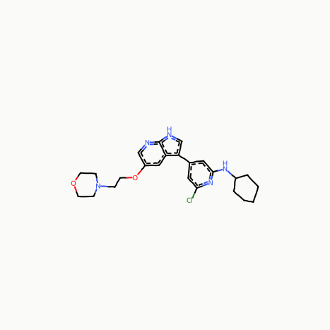 Clc1cc(-c2c[nH]c3ncc(OCCN4CCOCC4)cc23)cc(NC2CCCCC2)n1